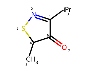 CC(C)C1=NSC(C)C1=O